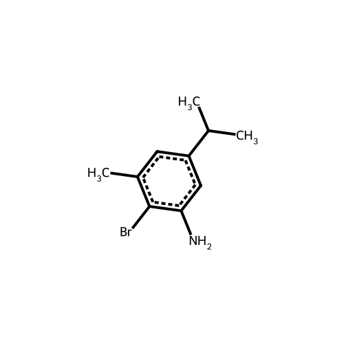 Cc1cc(C(C)C)cc(N)c1Br